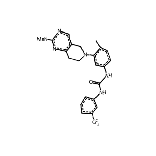 CNc1ncc2c(n1)CCN(c1cc(NC(=O)Nc3cccc(C(F)(F)F)c3)ccc1C)C2